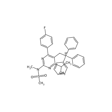 CC(C)c1nc(N(C)S(C)(=O)=O)nc(-c2ccc(F)cc2)c1C[PH](c1ccccc1)(c1ccccc1)c1ccccc1